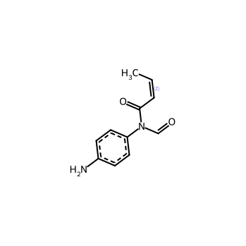 C/C=C\C(=O)N(C=O)c1ccc(N)cc1